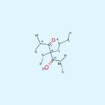 CCCCC(CC)(C(=O)C(C)C)C(=O)C(C)C